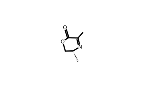 CC1=N[C@H](C)COC1=O